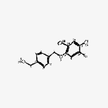 OCc1ccc(COc2cc(I)c(Cl)cc2Cl)cc1